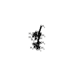 CCCCCCCCOc1c(O[C@@H]2O[C@H](COC(C)=O)[C@@H](OC(C)=O)[C@H](OC(C)=O)[C@H]2OC(C)=O)c2ccc(NC(=O)/C=C/c3cc(OC)c(O[C@@H]4O[C@H](COC(C)=O)[C@@H](OC(C)=O)[C@H](OC(C)=O)[C@H]4OC(C)=O)c(OC)c3)cc2n(C)c1=O